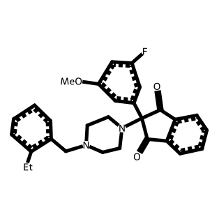 CCc1ccccc1CN1CCN(C2(c3cc(F)cc(OC)c3)C(=O)c3ccccc3C2=O)CC1